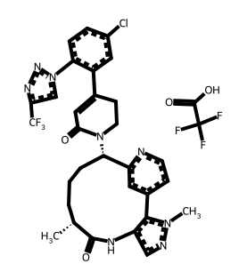 C[C@@H]1CCC[C@H](N2CCC(c3cc(Cl)ccc3-n3cc(C(F)(F)F)nn3)=CC2=O)c2cc(ccn2)-c2c(cnn2C)NC1=O.O=C(O)C(F)(F)F